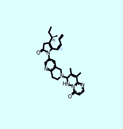 C=C/C=C\C1=C([C@H](C)CC)CC(=O)N1c1cnc2c(c1)CN(C1Nn3c(nccc3=O)C(C)=C1C)CC2